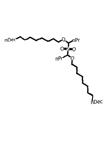 CCCCCCCCCCCCCCCCCCOC(CCC)S(=O)(=O)C(CCC)OCCCCCCCCCCCCCCCCCC